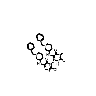 Cn1c(=O)[nH]nc(N[C@@H]2CCCN(Cc3ccccc3)C2)c1=O.Cn1c(Cl)nnc(N[C@@H]2CCCN(Cc3ccccc3)C2)c1=O